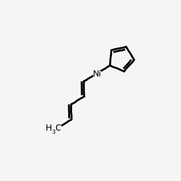 CC=CC=[CH][Ni][CH]1C=CC=C1